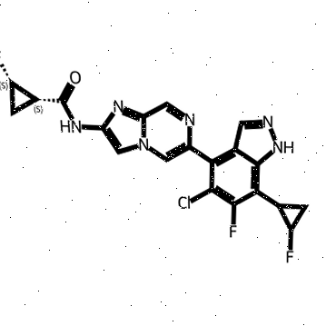 O=C(Nc1cn2cc(-c3c(Cl)c(F)c(C4CC4F)c4[nH]ncc34)ncc2n1)[C@@H]1C[C@@H]1F